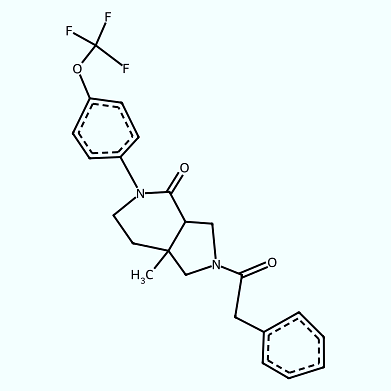 CC12CCN(c3ccc(OC(F)(F)F)cc3)C(=O)C1CN(C(=O)Cc1ccccc1)C2